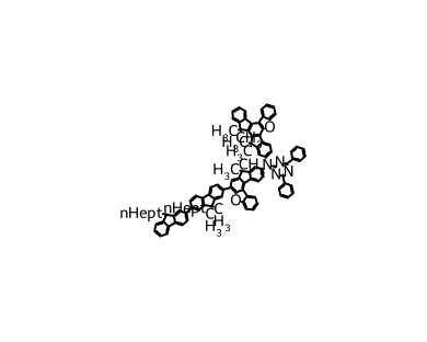 CCCCCCCC1(CCCCCCC)c2ccccc2-c2ccc(-c3ccc4c(c3)C(C)(C)c3cc(-c5cc6c(c7c5oc5ccccc57)-c5ccc(N(c7ccc8c(c7)C(C)(C)c7c9c(c%10c(oc%11ccccc%11%10)c7-8)-c7ccccc7C9(C)C)c7nc(-c8ccccc8)nc(-c8ccccc8)n7)cc5C6(C)C)ccc3-4)cc21